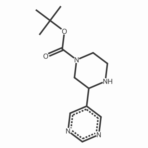 CC(C)(C)OC(=O)N1CCNC(c2cncnc2)C1